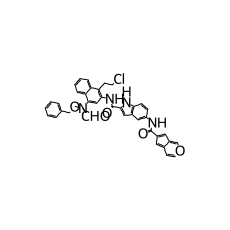 O=CN(OCc1ccccc1)c1cc(NC(=O)c2cc3cc(NC(=O)c4cc5ccocc-5c4)ccc3[nH]2)c(CCCl)c2ccccc12